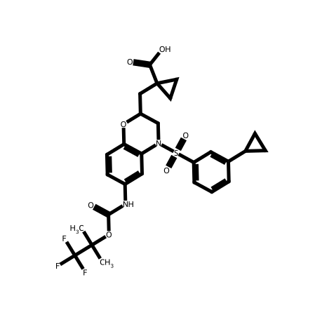 CC(C)(OC(=O)Nc1ccc2c(c1)N(S(=O)(=O)c1cccc(C3CC3)c1)CC(CC1(C(=O)O)CC1)O2)C(F)(F)F